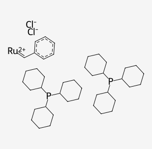 C1CCC(P(C2CCCCC2)C2CCCCC2)CC1.C1CCC(P(C2CCCCC2)C2CCCCC2)CC1.[Cl-].[Cl-].[Ru+2]=[CH]c1ccccc1